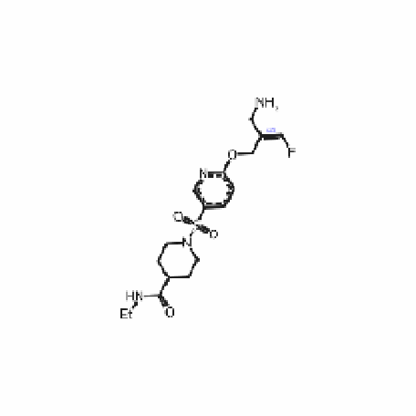 CCNC(=O)C1CCN(S(=O)(=O)c2ccc(OC/C(=C\F)CN)nc2)CC1